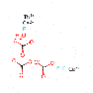 O.O=C([O-])[O-].O=C([O-])[O-].O=C([O-])[O-].[Ca+2].[Ce+3].[F-].[F-].[F-].[Th+4]